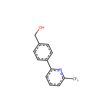 OCc1ccc(-c2cccc(C(F)(F)F)n2)cc1